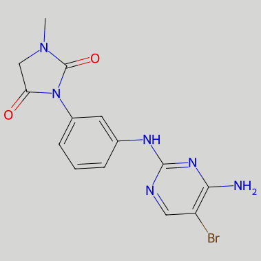 CN1CC(=O)N(c2cccc(Nc3ncc(Br)c(N)n3)c2)C1=O